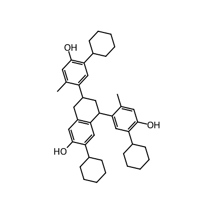 Cc1cc(O)c(C2CCCCC2)cc1C1Cc2cc(O)c(C3CCCCC3)cc2C(c2cc(C3CCCCC3)c(O)cc2C)C1